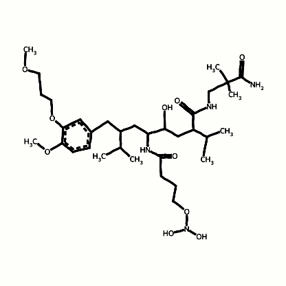 COCCCOc1cc(CC(CC(NC(=O)CCCON(O)O)C(O)CC(C(=O)NCC(C)(C)C(N)=O)C(C)C)C(C)C)ccc1OC